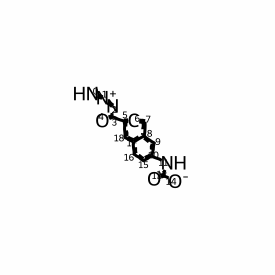 N=[N+]=NC(=O)c1ccc2cc(NC(=O)[O-])ccc2c1